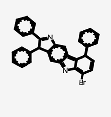 BrC1=C2N=c3cc4c(cc3=C2C(c2ccccc2)C=C1)N=C(c1ccccc1)C4c1ccccc1